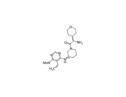 C=Cc1c(NC)ncnc1N[C@@H]1CCCN(C(=O)C(N)=C2CCOCC2)C1